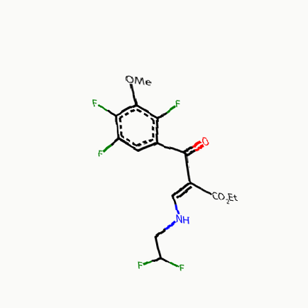 CCOC(=O)C(=CNCC(F)F)C(=O)c1cc(F)c(F)c(OC)c1F